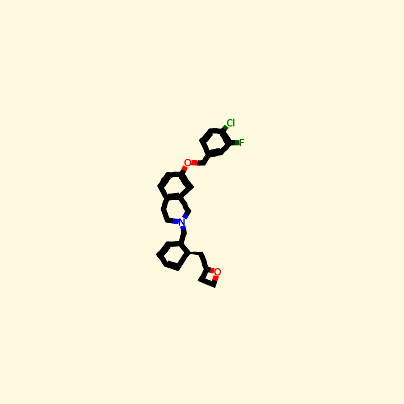 Fc1cc(COc2ccc3c(c2)CN(CC2C=CC=C[C@@H]2CC2CCO2)CC3)ccc1Cl